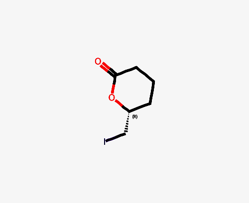 O=C1CCC[C@H](CI)O1